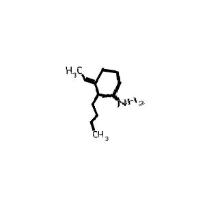 C/C=C1\CCCC(N)C1CCCC